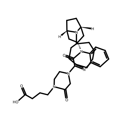 O=C(O)CCCN1CCN(c2nc3ccccc3n([C@H]3C[C@H]4CC[C@@H](C3)N4C3CCCCCCC3)c2=O)CC1=O